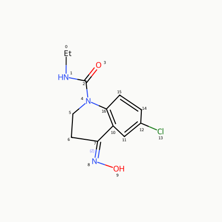 CCNC(=O)N1CC/C(=N/O)c2cc(Cl)ccc21